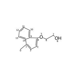 Cc1ccc(OCCO)c2ccccc12